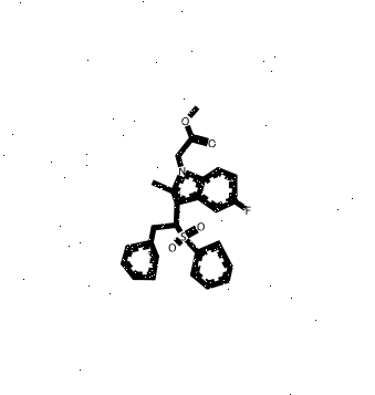 COC(=O)Cn1c(C)c(C(Cc2ccccc2)S(=O)(=O)c2ccccc2)c2cc(F)ccc21